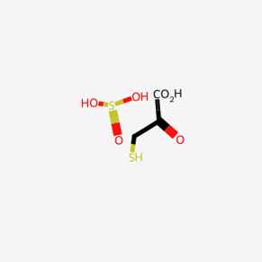 O=C(O)C(=O)CS.O=S(O)O